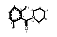 Cc1cccc(F)c1C(=O)N1CCCCC1